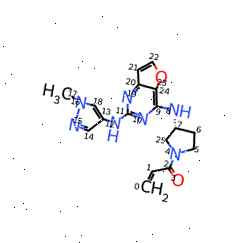 C=CC(=O)N1CC[C@@H](Nc2nc(Nc3cnn(C)c3)nc3ccoc23)C1